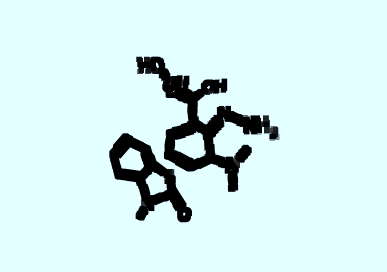 CN(C)C1C=CC=C(C(=O)O)C1=NN.Cn1c(=O)sc2ccccc21.OO